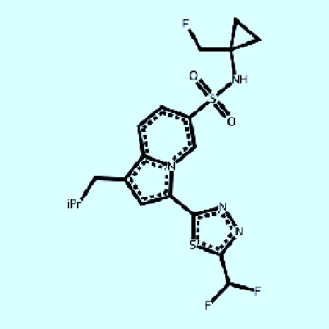 CC(C)Cc1cc(-c2nnc(C(F)F)s2)n2cc(S(=O)(=O)NC3(CF)CC3)ccc12